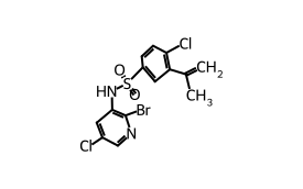 C=C(C)c1cc(S(=O)(=O)Nc2cc(Cl)cnc2Br)ccc1Cl